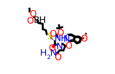 CCOC(=O)BCCCCCSC[C@H](NC(=O)OC(C)(C)C)C(=O)N1C[C@H](Oc2nccc3cc(OC)ccc23)CC1C(N)=O